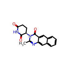 Cc1nc2cc3ccccc3cc2c(=O)n1[C@@H]1CCC(=O)NC1=O